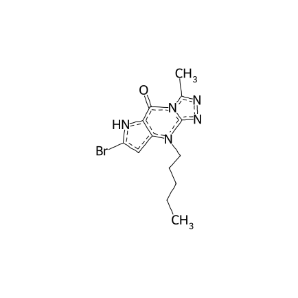 CCCCCn1c2cc(Br)[nH]c2c(=O)n2c(C)nnc12